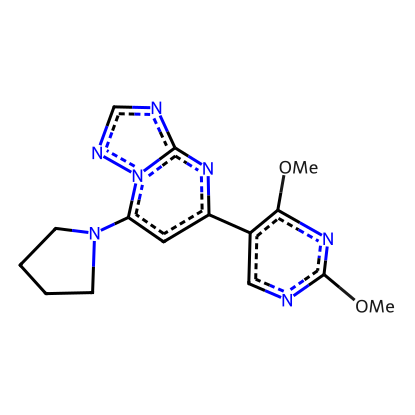 COc1ncc(-c2cc(N3CCCC3)n3ncnc3n2)c(OC)n1